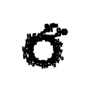 CC[C@@H]1NC(=O)[C@H]([C@H](O)[C@H](C)CCCCCCNC(=O)OC(C)(C)C)N(C)C(=O)[C@H](C(C)C)N(C)C(=O)[C@H](CC(C)C)N(C)C(=O)[C@H](CC(C)C)N(C)C(=O)[C@H](C)NC(=O)[C@@H](C)NC(=O)[C@@H](CC(C)C)N(C)C(=O)[C@@H](C(C)C)NC(=O)[C@H](CC(C)C)N(C)C(=O)[C@@H](SCCCCOC(=O)c2ccccc2)N(C)C1=O